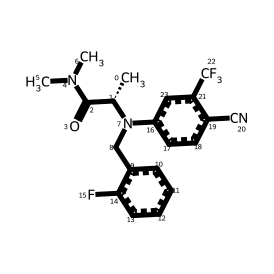 C[C@@H](C(=O)N(C)C)N(Cc1ccccc1F)c1ccc(C#N)c(C(F)(F)F)c1